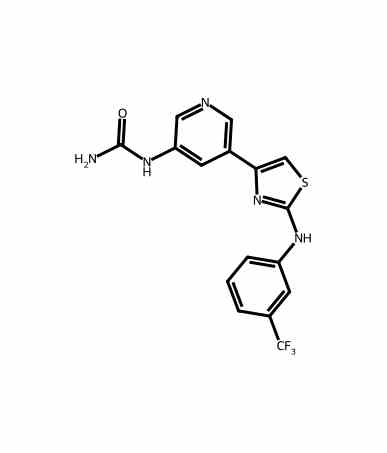 NC(=O)Nc1cncc(-c2csc(Nc3cccc(C(F)(F)F)c3)n2)c1